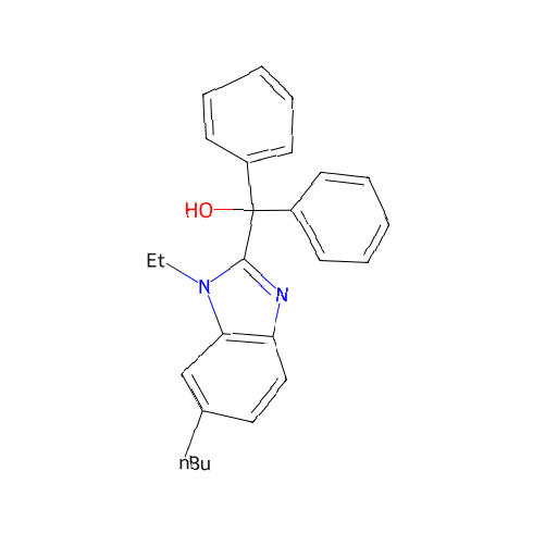 CCCCc1ccc2nc(C(O)(c3ccccc3)c3ccccc3)n(CC)c2c1